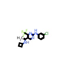 C=C(NC1CCC1)c1cnc(Nc2cccc(Cl)c2)nc1C(F)(F)F